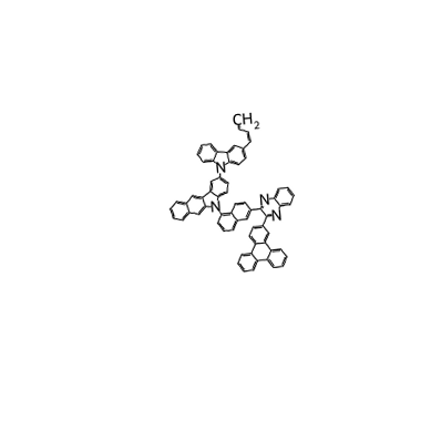 C=C/C=C\c1ccc2c(c1)c1ccccc1n2-c1ccc2c(c1)c1cc3ccccc3cc1n2-c1cccc2cc(-c3nc4ccccc4nc3-c3ccc4c5ccccc5c5ccccc5c4c3)ccc12